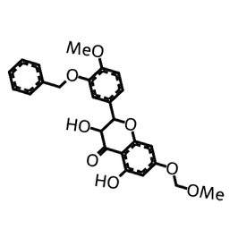 COCOc1cc(O)c2c(c1)OC(c1ccc(OC)c(OCc3ccccc3)c1)C(O)C2=O